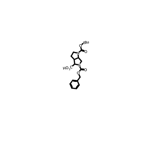 CC(C)(C)OC(=O)N1CCC2C1CN(C(=O)OCc1ccccc1)C2C(=O)O